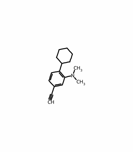 C#Cc1ccc(C2CCCCC2)c(N(C)C)c1